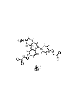 Nc1ccc(C=C(c2ccc(OCC(=O)[O-])cc2)c2ccc(OCC(=O)[O-])cc2)cc1.[Na+].[Na+]